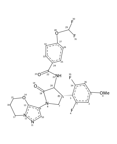 COc1cc(F)c([C@@H]2CN(c3cnn4c3OCCC4)C(=O)C2NC(=O)c2ccc(OC(F)F)cc2)c(F)c1